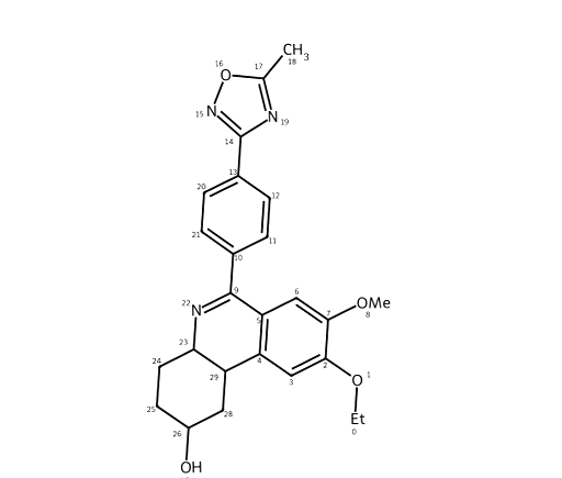 CCOc1cc2c(cc1OC)C(c1ccc(-c3noc(C)n3)cc1)=NC1CCC(O)CC21